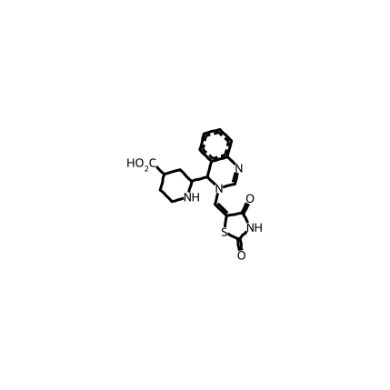 O=C1NC(=O)C(=CN2C=Nc3ccccc3C2C2CC(C(=O)O)CCN2)S1